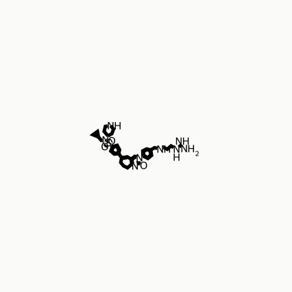 N=C(N)NCCCNCc1ccc(-n2cc3c(nc2=O)CCCC(c2ccc(S(=O)(=O)N(CC4CC4)C4CCNCC4)cc2)=C3)cc1